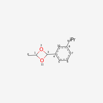 CC1OC(c2cccc(C(C)C)c2)O1